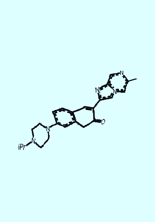 Cc1cn2cc(C3=Cc4ccc(N5CCN(C(C)C)CC5)cc4CC3=O)nc2cn1